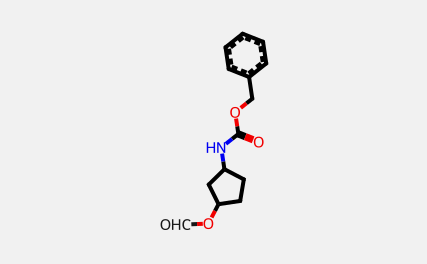 O=COC1CCC(NC(=O)OCc2ccccc2)C1